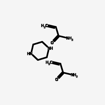 C1CNCCN1.C=CC(N)=O.C=CC(N)=O